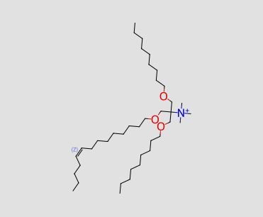 CCCC/C=C\CCCCCCCCOCC(COCCCCCCCCC)(COCCCCCCCCC)[N+](C)(C)C